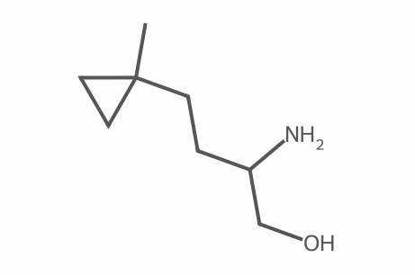 CC1(CCC(N)CO)CC1